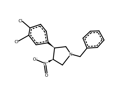 O=[N+]([O-])[C@@H]1CN(Cc2ccccc2)C[C@@H]1c1ccc(Cl)c(Cl)c1